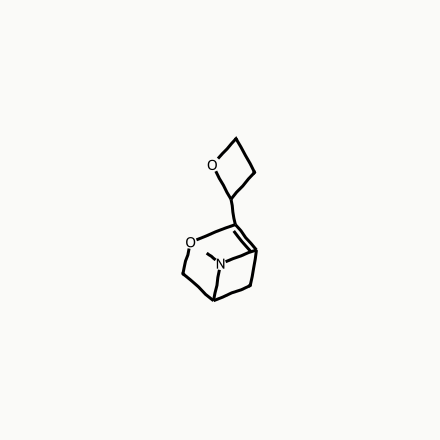 CN1C2=C(C3CCO3)OCC1C2